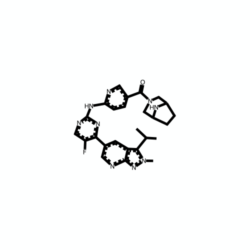 CC(C)c1c2cc(-c3nc(Nc4ccc(C(=O)N5CC6CCC(C5)N6)cn4)ncc3F)cnc2nn1C